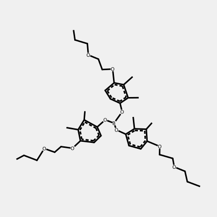 CCCOCCOc1ccc(OB(Oc2ccc(OCCOCCC)c(C)c2C)Oc2ccc(OCCOCCC)c(C)c2C)c(C)c1C